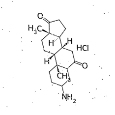 C[C@]12CCC(N)CC1C(=O)C[C@@H]1[C@H]2CC[C@]2(C)C(=O)CC[C@@H]12.Cl